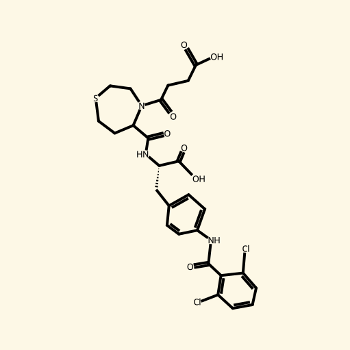 O=C(O)CCC(=O)N1CCSCCC1C(=O)N[C@@H](Cc1ccc(NC(=O)c2c(Cl)cccc2Cl)cc1)C(=O)O